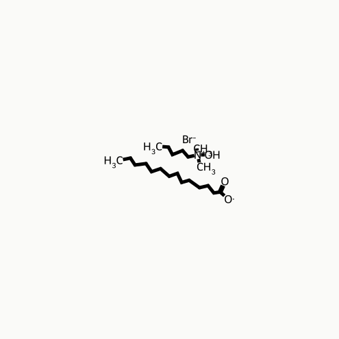 CCCCCCCCCCCCCC([O])=O.CCCCC[N+](C)(C)O.[Br-]